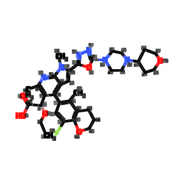 CCO[C@H](C(=O)O)c1c(C)nc2c(cc(-c3nnc(N4CCN(C5CCOCC5)CC4)o3)n2C)c1-c1cc(F)c2c(c1C)CCCO2